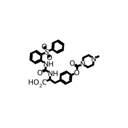 CN1CCN(C(=O)Oc2ccc(CC(NC(=O)Nc3ccccc3S(=O)(=O)c3ccccc3)C(=O)O)cc2)CC1